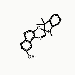 CC(=O)Oc1ccc2ccc3c(c2c1)N=CC1(O3)N(C)c2ccccc2C1(C)C